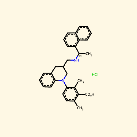 Cc1ccc(N2CC(CN[C@H](C)c3cccc4ccccc34)Cc3ccccc32)c(C)c1C(=O)O.Cl